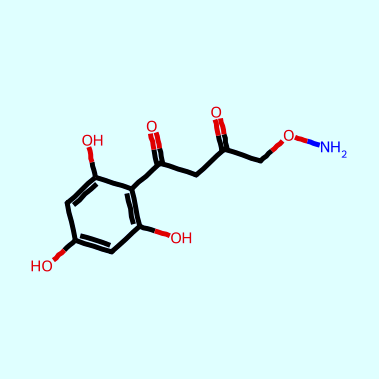 NOCC(=O)CC(=O)c1c(O)cc(O)cc1O